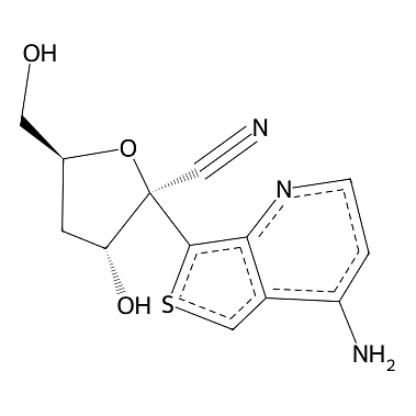 N#C[C@@]1(c2scc3c(N)ccnc23)O[C@H](CO)C[C@H]1O